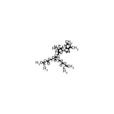 Cc1nc(C)c2ncn([C@@H]3O[C@](F)(COP(=O)(OCOC(=O)OC(C)C)OCOC(=O)OC(C)C)[C@@H](O)[C@@]3(C)F)c2n1